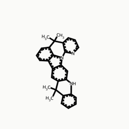 CC1(C)c2ccccc2Nc2cc3c(cc21)c1cccc2c1n3-c1ncccc1C2(C)C